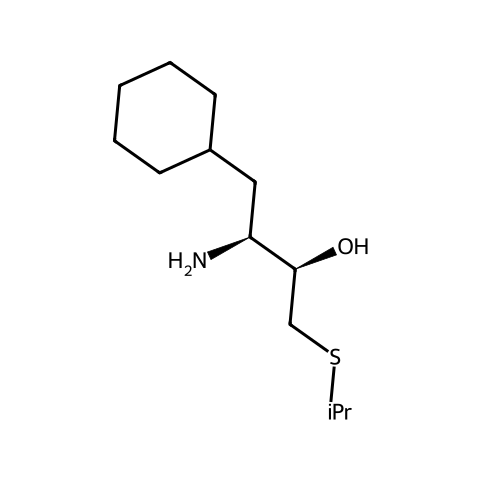 CC(C)SC[C@H](O)[C@@H](N)CC1CCCCC1